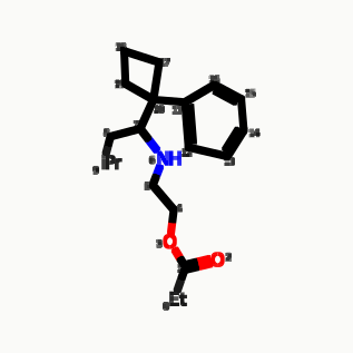 CCC(=O)OCCNC(CC(C)C)C1(c2ccccc2)CCC1